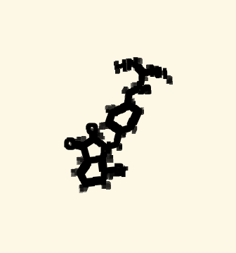 N=C(N)[Se]Cc1ccc(CN2C(=O)C(=O)c3cccc(Br)c32)cc1